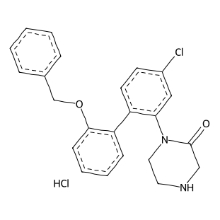 Cl.O=C1CNCCN1c1cc(Cl)ccc1-c1ccccc1OCc1ccccc1